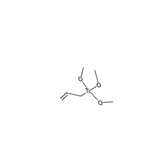 C=C[CH2][Ti]([O]C)([O]C)[O]C